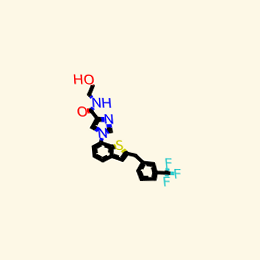 O=C(NCCO)c1cn(-c2cccc3cc(Cc4cccc(C(F)(F)F)c4)sc23)cn1